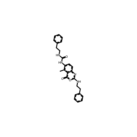 Cc1c(NC(=O)NCCc2ccccc2)ccc2nc(NCCc3ccccc3)oc(=O)c12